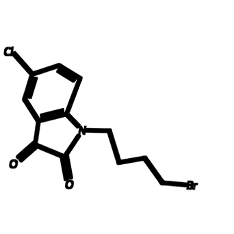 O=C1C(=O)N(CCCCBr)c2ccc(Cl)cc21